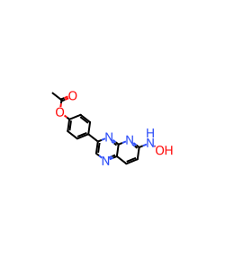 CC(=O)Oc1ccc(-c2cnc3ccc(NO)nc3n2)cc1